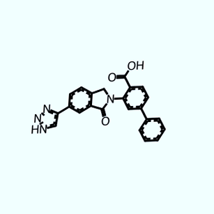 O=C(O)c1ccc(-c2ccccc2)cc1N1Cc2ccc(-c3c[nH]nn3)cc2C1=O